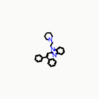 C(=C(c1ccccc1)c1ccccc1)c1nc2ccccc2n1CCN1CCCCC1